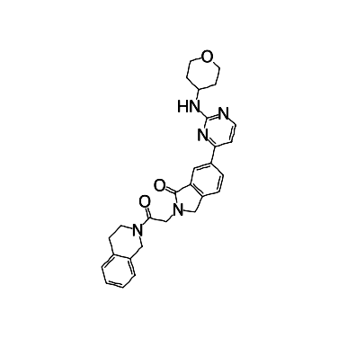 O=C(CN1Cc2ccc(-c3ccnc(NC4CCOCC4)n3)cc2C1=O)N1CCc2ccccc2C1